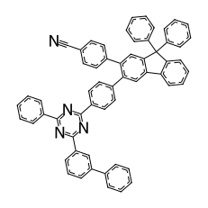 N#Cc1ccc(-c2cc3c(cc2-c2ccc(-c4nc(-c5ccccc5)nc(-c5cccc(-c6ccccc6)c5)n4)cc2)-c2ccccc2C3(c2ccccc2)c2ccccc2)cc1